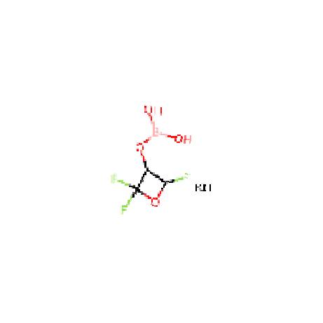 OB(O)OC1C(F)OC1(F)F.[KH]